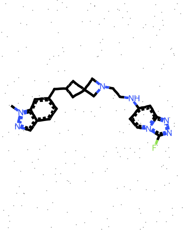 Cn1ncc2ccc(CC3CC4(C3)CN(CCNc3ccn5c(F)nnc5c3)C4)cc21